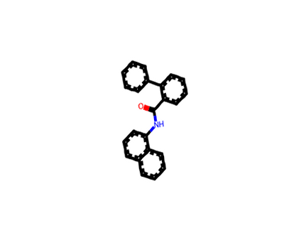 O=C(Nc1cccc2ccccc12)c1ccccc1-c1ccccc1